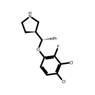 CCC[C@H](Oc1ccc(Cl)c(Cl)c1F)[C@H]1CCNC1